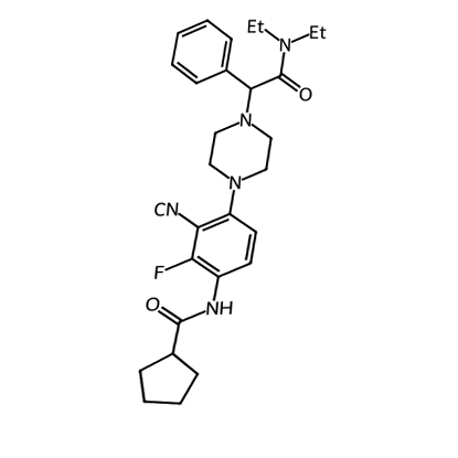 [C-]#[N+]c1c(N2CCN(C(C(=O)N(CC)CC)c3ccccc3)CC2)ccc(NC(=O)C2CCCC2)c1F